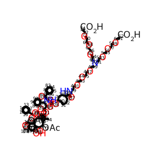 CC(=O)O[C@H]1C(=O)[C@@]2(C)[C@H]([C@H](OC(=O)c3ccccc3)[C@]3(O)C[C@H](OC(=O)[C@H](OC(=O)O[C@H]4/C=C/CC[C@@](C)(C(=O)NCCOCCOCCOCCN(CCOCCOCCOCCC(=O)O)CCOCCOCCOCCC(=O)O)CC4)[C@@H](NC(=O)c4ccccc4)c4ccccc4)C(C)=C1C3(C)C)[C@]1(OC(C)=O)CO[C@@H]1C[C@@H]2O